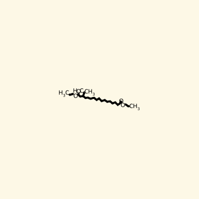 CCCOC(=O)CCCCCCCCCCCCCC(CC(=O)OCCC)C(C)C